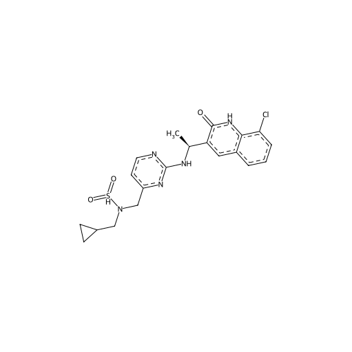 C[C@H](Nc1nccc(CN(CC2CC2)[SH](=O)=O)n1)c1cc2cccc(Cl)c2[nH]c1=O